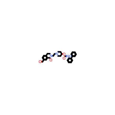 O=Cc1ccc2c(c1)C(=O)N(CCN1CCC(OC(=O)Nc3ccccc3-c3ccccc3)CC1)CC2